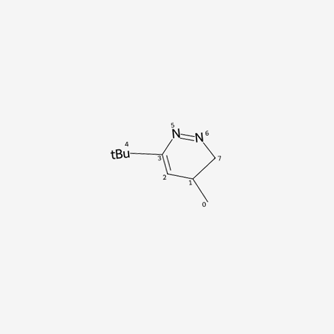 CC1C=C(C(C)(C)C)N=NC1